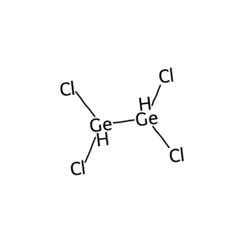 [Cl][GeH]([Cl])[GeH]([Cl])[Cl]